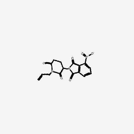 C=CCN1C(=O)CCC(N2C(=O)c3cccc([N+](=O)[O-])c3C2=O)C1=O